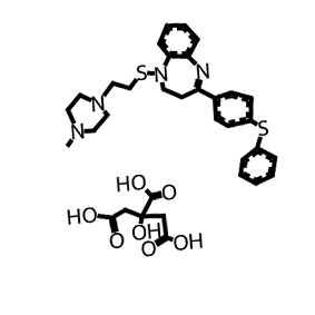 CN1CCN(CCSN2CCC(c3ccc(Sc4ccccc4)cc3)=Nc3ccccc32)CC1.O=C(O)CC(O)(CC(=O)O)C(=O)O